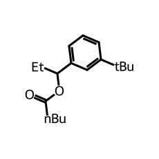 CCCCC(=O)OC(CC)c1cccc(C(C)(C)C)c1